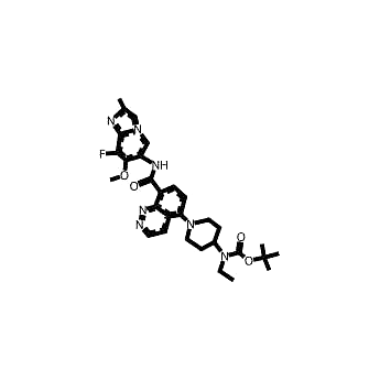 CCN(C(=O)OC(C)(C)C)C1CCN(c2ccc(C(=O)Nc3cn4cc(C)nc4c(F)c3OC)c3nnccc23)CC1